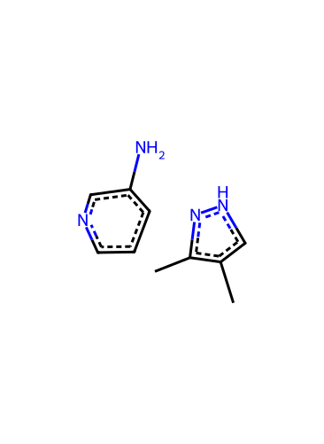 Cc1c[nH]nc1C.Nc1cccnc1